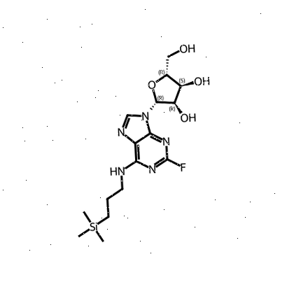 C[Si](C)(C)CCCNc1nc(F)nc2c1ncn2[C@@H]1O[C@H](CO)[C@@H](O)[C@H]1O